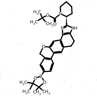 CC(C)(C)OC(=O)N1CCCC[C@H]1c1nc2c([nH]1)CCc1cc3c(cc1-2)OCc1cc(B2OC(C)(C)C(C)(C)O2)ccc1-3